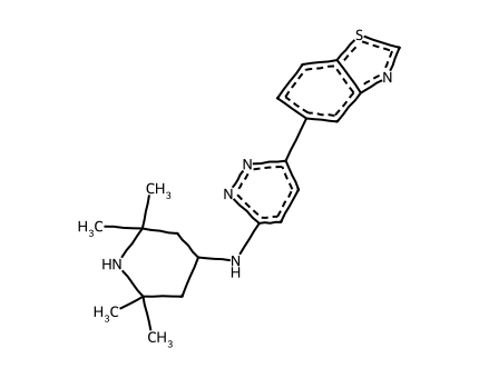 CC1(C)CC(Nc2ccc(-c3ccc4scnc4c3)nn2)CC(C)(C)N1